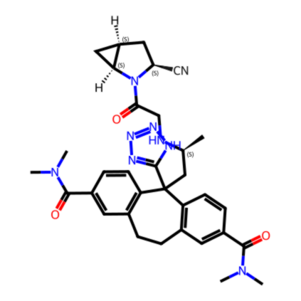 C[C@@H](CC1(c2nnn[nH]2)c2ccc(C(=O)N(C)C)cc2CCc2cc(C(=O)N(C)C)ccc21)NCC(=O)N1[C@H](C#N)C[C@@H]2C[C@@H]21